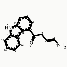 NC=CCC(=O)c1cccc2[nH]c3ccccc3c12